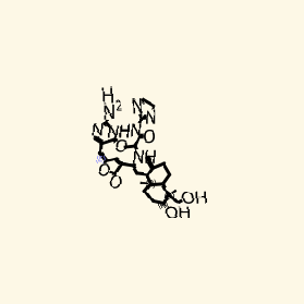 C=C1CCC2[C@](C)(CC[C@@H](O)[C@@]2(C)CO)C1CC(NC(C)C(=O)NC1=NCC=N1)C1=C/C(=C\c2cnc(N)[nH]c2=O)OC1=O